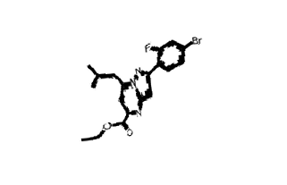 CCOC(=O)c1cc(C=C(C)C)n2nc(-c3ccc(Br)cc3F)cc2n1